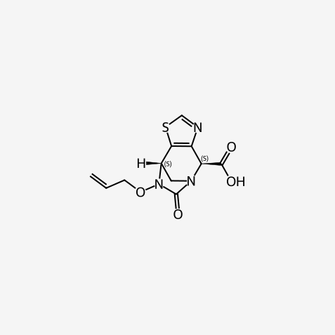 C=CCON1C(=O)N2C[C@H]1c1scnc1[C@H]2C(=O)O